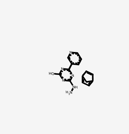 C1=CC2=CC=C1C2.NNc1nc(O)nc(-c2cccnc2)n1